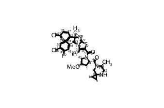 CO[C@@H]1C[C@@H](C(=O)N2CC3(CC3)NC[C@@H]2C)N(C(=O)C2=C(C(C)C)N3C(=N[C@@](C)(c4ccc(Cl)nc4)[C@H]3c3ccc(Cl)c(F)c3)S2)C1